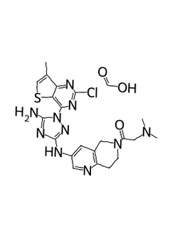 Cc1csc2c(-n3nc(Nc4cnc5c(c4)CN(C(=O)CN(C)C)CC5)nc3N)nc(Cl)nc12.O=CO